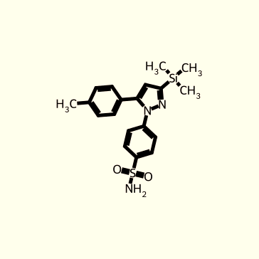 Cc1ccc(-c2cc([Si](C)(C)C)nn2-c2ccc(S(N)(=O)=O)cc2)cc1